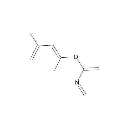 C=NC(=C)O/C(C)=C/C(=C)C